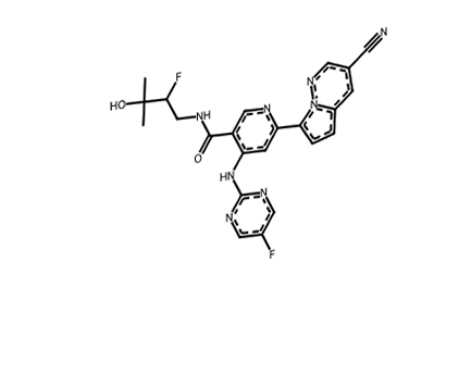 CC(C)(O)C(F)CNC(=O)c1cnc(-c2ccc3cc(C#N)cnn23)cc1Nc1ncc(F)cn1